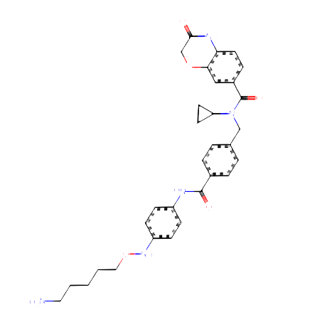 NCCCCCONc1ccc(NC(=O)c2ccc(CN(C(=O)c3ccc4c(c3)OCC(=O)N4)C3CC3)cc2)cc1